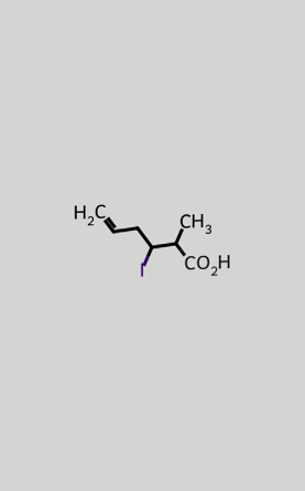 C=CCC(I)C(C)C(=O)O